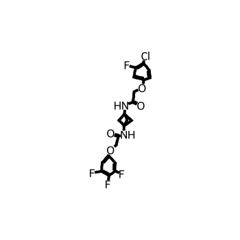 O=C(COc1ccc(Cl)c(F)c1)NC12CC(NC(=O)COc3cc(F)c(F)c(F)c3)(C1)C2